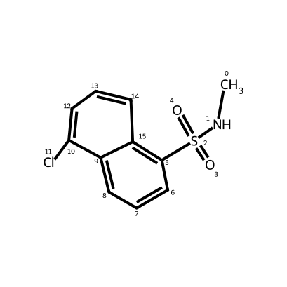 CNS(=O)(=O)c1cccc2c(Cl)cccc12